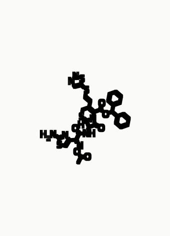 CC(=O)ON=C(C(=O)N[C@@H]1C(=O)N2C(C(=O)OC(c3ccccc3)c3ccccc3)=C(/C=C/Sc3cnns3)CS[C@@H]12)c1csc(N)n1